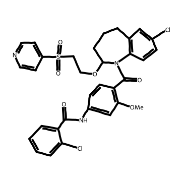 COc1cc(NC(=O)c2ccccc2Cl)ccc1C(=O)N1c2ccc(Cl)cc2CCCC1OCCS(=O)(=O)c1ccncc1